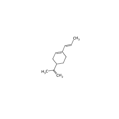 C=C(C)C1CC=C(C=CC)CC1